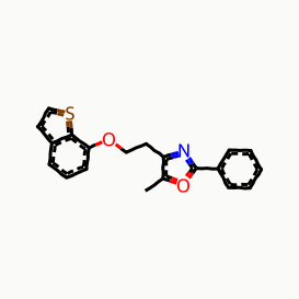 Cc1oc(-c2ccccc2)nc1CCOc1cccc2ccsc12